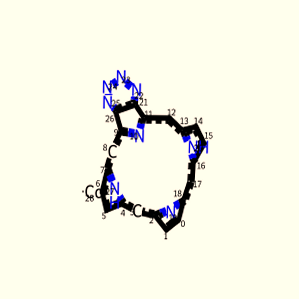 C1=Cc2cc3ccc(cc4nc(cc5ccc(cc1n2)[nH]5)-c1nnnnc1-4)[nH]3.[Co]